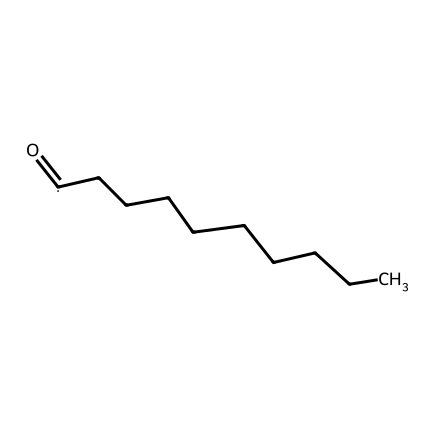 CCCCCCCCC[C]=O